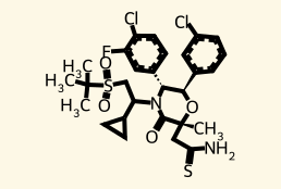 CC(C)(C)S(=O)(=O)CC(C1CC1)N1C(=O)[C@@](C)(CC(N)=S)O[C@H](c2cccc(Cl)c2)[C@H]1c1ccc(Cl)c(F)c1